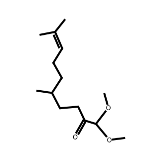 COC(OC)C(=O)CCC(C)CCC=C(C)C